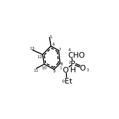 CCO[PH](=O)C=O.Cc1cccc(C)c1C